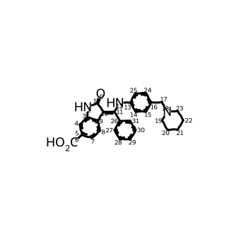 O=C1Nc2cc(C(=O)O)ccc2/C1=C(/Nc1ccc(CN2CCCCC2)cc1)c1ccccc1